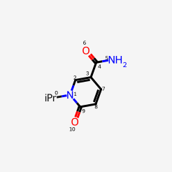 CC(C)n1cc(C(N)=O)ccc1=O